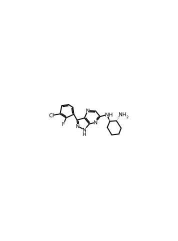 N[C@@H]1CCCC[C@H]1Nc1cnc2c(-c3cccc(Cl)c3F)n[nH]c2n1